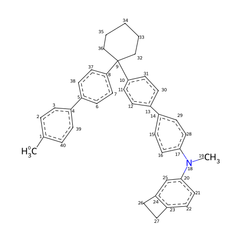 Cc1ccc(-c2ccc(C3(c4ccc(-c5ccc(N(C)c6ccc7c(c6)CC7)cc5)cc4)CCCCC3)cc2)cc1